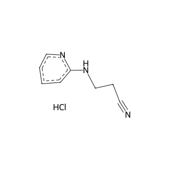 Cl.N#CCCNc1ccccn1